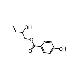 CCC(O)COC(=O)c1ccc(O)cc1